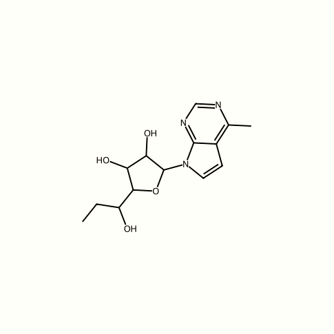 CCC(O)C1OC(n2ccc3c(C)ncnc32)C(O)C1O